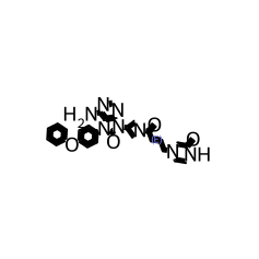 Nc1ncnc2c1n(-c1ccc(Oc3ccccc3)cc1)c(=O)n2C1CN(C(=O)/C=C/CN2CCNC(=O)C2)C1